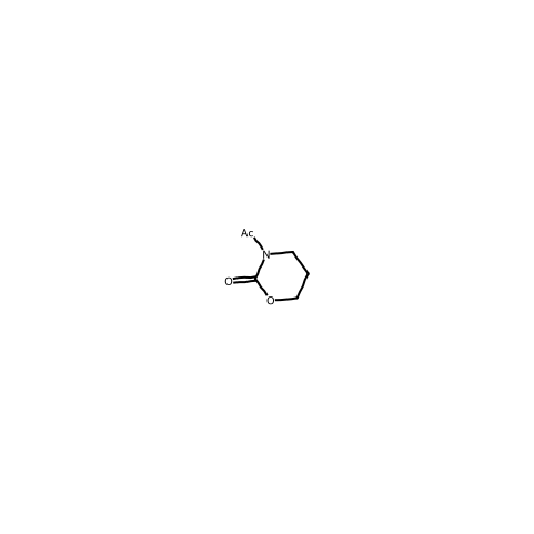 CC(=O)N1CCCOC1=O